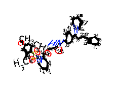 COc1cc(C)c(S(=O)(=O)N2CCCCC2COCC(=O)NC2CCC(C(CCc3ccccc3)N3CCCCC3)CC2)c(C)c1